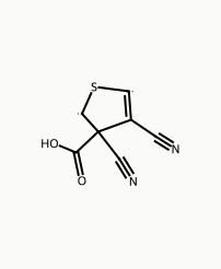 N#CC1=[C]S[CH]C1(C#N)C(=O)O